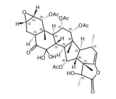 CC(=O)O[C@@H]1[C@H]2[C@H]3[C@H]([C@H](OC(C)=O)[C@H](OC(C)=O)[C@]2(C)[C@@H]2[C@@H]1[C@]1(C)C(=C[C@H]2C)OC(=O)[C@@]1(C)O)[C@]1(C)[C@H](C[C@@H]2O[C@@H]2[C@@H]1OC(C)=O)C(=O)C3(O)O